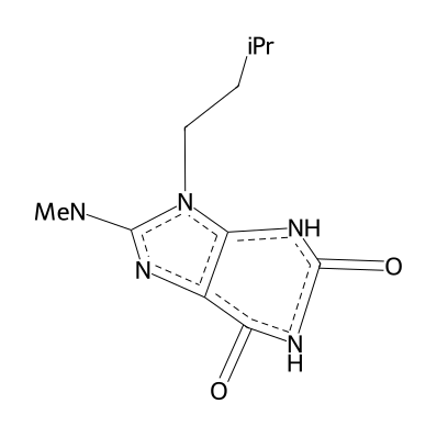 CNc1nc2c(=O)[nH]c(=O)[nH]c2n1CCC(C)C